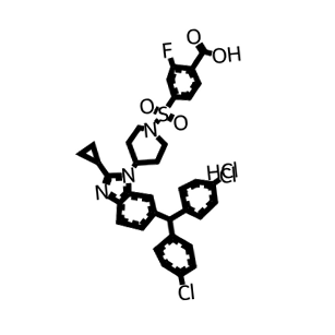 Cl.O=C(O)c1ccc(S(=O)(=O)N2CCC(n3c(C4CC4)nc4ccc(C(c5ccc(Cl)cc5)c5ccc(Cl)cc5)cc43)CC2)cc1F